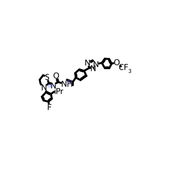 C/C(=C\NC(=O)/N=C1\SCCCN1c1ccc(F)cc1C(C)C)c1ccc(-c2ncn(-c3ccc(OC(F)(F)F)cc3)n2)cc1